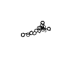 C[C@]12CCC3c4ccc(OCc5ccccc5)cc4CCC3C1CC[C@@H]2OS(=O)(=O)N(Cc1ccccc1)Cc1ccccc1